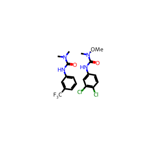 CN(C)C(=O)Nc1cccc(C(F)(F)F)c1.CON(C)C(=O)Nc1ccc(Cl)c(Cl)c1